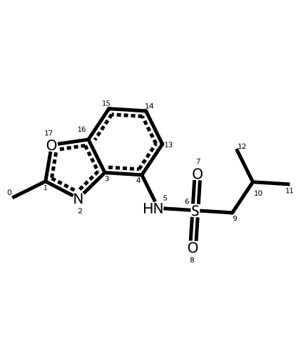 Cc1nc2c(NS(=O)(=O)CC(C)C)cccc2o1